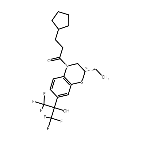 CC[C@H]1CN(C(=O)CCC2CCCC2)c2ccc(C(O)(C(F)(F)F)C(F)(F)F)cc2S1